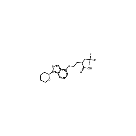 O=C(O)C(CCOc1cccc2c1cnn2C1CCCCO1)CC(F)(F)F